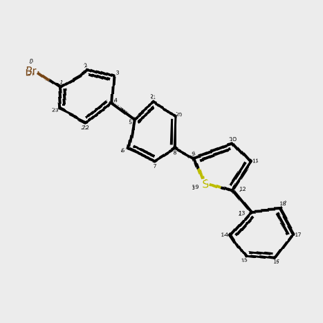 Brc1ccc(-c2ccc(-c3ccc(-c4ccccc4)s3)cc2)cc1